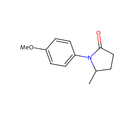 COc1ccc(N2C(=O)CCC2C)cc1